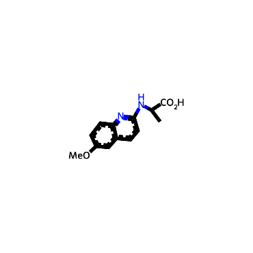 COc1ccc2nc(NC(C)C(=O)O)ccc2c1